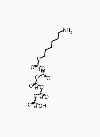 NCCCCCCO[PH](=O)O[PH](=O)O[PH](=O)O[PH](=O)O[PH](=O)O